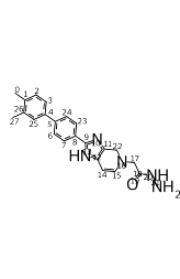 Cc1ccc(-c2ccc(-c3nc4c([nH]3)C=CN(CC(=O)NN)C4)cc2)cc1C